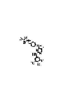 COc1cc(Nc2ncc(C)c(Nc3ccc(CNS(=O)(=O)C4CC4)cc3)n2)cc(Cl)c1OC